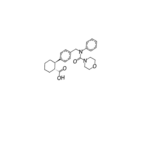 O=C(O)[C@@H]1CCCC[C@H]1c1ccc(CN(C(=O)N2CCOCC2)c2ccccc2)cc1